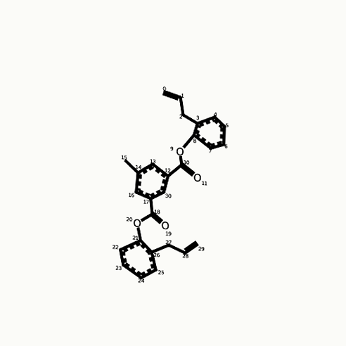 C=CCc1ccccc1OC(=O)c1cc(C)cc(C(=O)Oc2ccccc2CC=C)c1